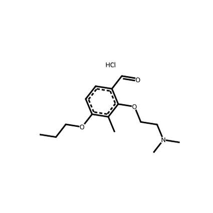 CCCOc1ccc(C=O)c(OCCN(C)C)c1C.Cl